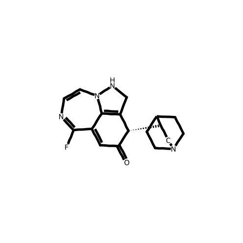 O=C1C=C2C(F)=NC=CN3NCC(=C23)[C@@H]1C1CN2CCC1CC2